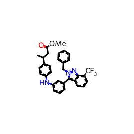 COC(=O)CC(C)c1ccc(Nc2cccc(-c3c4cccc(C(F)(F)F)c4nn3Cc3ccccc3)c2)cc1